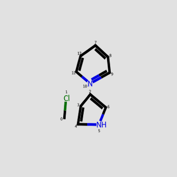 CCl.c1cc[nH]c1.c1ccncc1